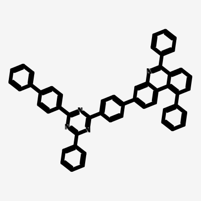 c1ccc(-c2ccc(-c3nc(-c4ccccc4)nc(-c4ccc(-c5ccc6c(c5)nc(-c5ccccc5)c5cccc(-c7ccccc7)c56)cc4)n3)cc2)cc1